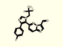 CC(F)(F)Cn1cnc(-c2ccc(F)cc2)c1-c1ccc2ncc(C=O)n2n1